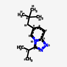 CC(C)c1nnc2ccc(CC(C)(C)C)cn12